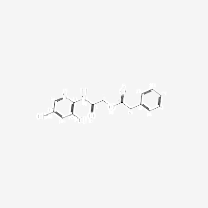 O=C(COC(=O)Cc1ccccc1)Nc1ncc(Cl)cc1Cl